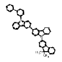 CC1(C)c2ccccc2-c2cc(N3C4=CC=CCC4c4cc(-c5ccc6c(c5)c5ccccc5n6-c5cccc(-c6ccccc6)c5)ccc43)ccc21